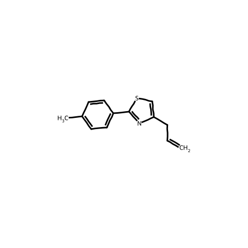 C=CCc1csc(-c2ccc(C)cc2)n1